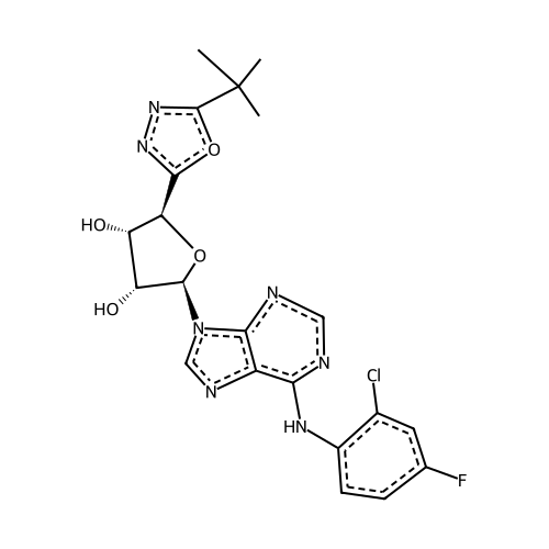 CC(C)(C)c1nnc([C@H]2O[C@@H](n3cnc4c(Nc5ccc(F)cc5Cl)ncnc43)[C@H](O)[C@@H]2O)o1